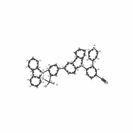 N#Cc1ccc(-n2c3ccccc3c3cc(-c4ccc(-n5c6ccccc6c6ccccc65)c(C(F)(F)F)c4)ccc32)c(-c2ccncc2)c1